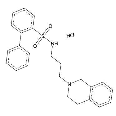 Cl.O=S(=O)(NCCCN1CCc2ccccc2C1)c1ccccc1-c1ccccc1